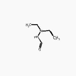 CCN(CC)N[C]=O